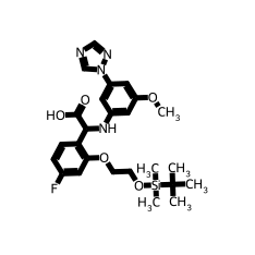 COc1cc(NC(C(=O)O)c2ccc(F)cc2OCCO[Si](C)(C)C(C)(C)C)cc(-n2cncn2)c1